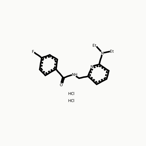 CCN(CC)c1cccc(CNC(=O)c2ccc(F)cc2)n1.Cl.Cl